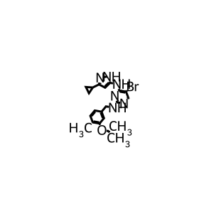 Cc1ccc(CNc2ncc(Br)c(Nc3cc(C4CC4)n[nH]3)n2)cc1OC(C)C